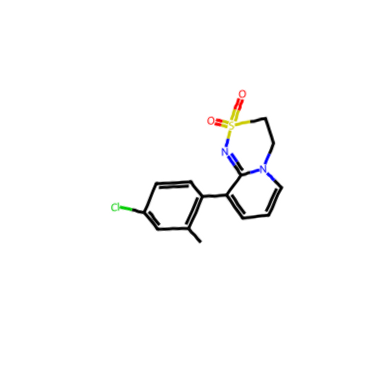 Cc1cc(Cl)ccc1C1=CC=CN2CCS(=O)(=O)N=C12